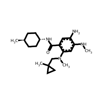 CNc1cc(N(C)CC2(C)CC2)c(C(=O)N[C@H]2CC[C@H](C)CC2)cc1N